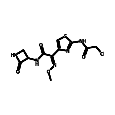 CON=C(C(=O)NC1CNC1=O)c1csc(NC(=O)CCl)n1